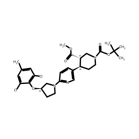 COC(=O)[C@@H]1CN(C(=O)OC(C)(C)C)CC[C@H]1c1ccc(N2CC[C@@H](Oc3c(Cl)cc(C)cc3Cl)C2)nc1